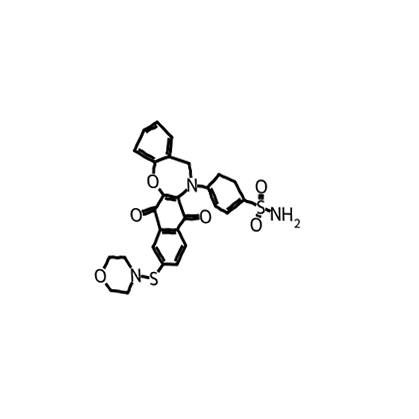 NS(=O)(=O)C1=CC=C(N2Cc3ccccc3OC3=C2C(=O)c2ccc(SN4CCOCC4)cc2C3=O)CC1